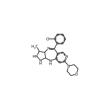 CC1NNC2Nc3cc(N4CCOCC4)ncc3C(c3ccccc3Cl)=NC12